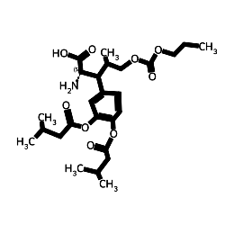 CCCOC(=O)OCC(C)C(c1ccc(OC(=O)CC(C)C)c(OC(=O)CC(C)C)c1)[C@H](N)C(=O)O